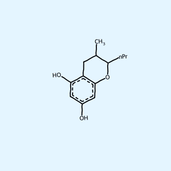 CCCC1Oc2cc(O)cc(O)c2CC1C